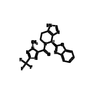 Cn1nc(C(F)(F)F)nc1C(=O)N1CCc2[nH]cnc2[C@H]1c1nc2ccccc2o1